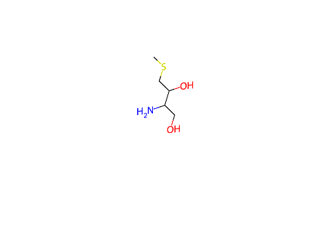 CSCC(O)C(N)CO